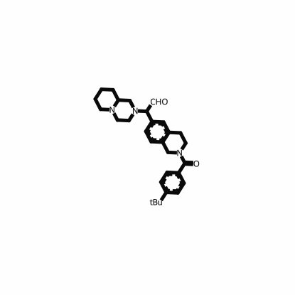 CC(C)(C)c1ccc(C(=O)N2CCc3cc(C(C=O)N4CCN5CCCCC5C4)ccc3C2)cc1